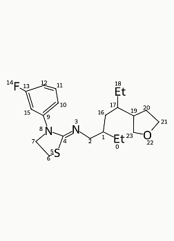 CCC(CN=C1SCCN1c1cccc(F)c1)CC(CC)C1CCOC1